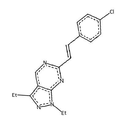 CCc1nn(CC)c2nc(/C=C/c3ccc(Cl)cc3)ncc12